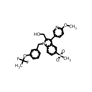 COc1ccc(-c2c(CO)n(Cc3cccc(OC(C)(F)F)c3)c3ccc(S(C)(=O)=O)cc23)cn1